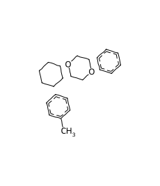 C1CCCCC1.C1COCCO1.Cc1ccccc1.c1ccccc1